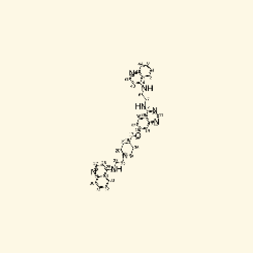 c1ccc2c(NCCNc3ncnc4cc(OCC5CCN(CCNc6ccnc7ccccc67)CC5)ccc34)ccnc2c1